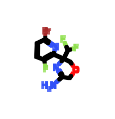 NC1=NC(c2nc(Br)ccc2F)(C(F)F)COC1